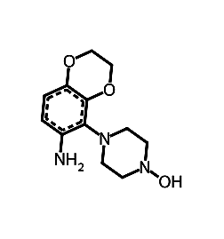 Nc1ccc2c(c1N1CCN(O)CC1)OCCO2